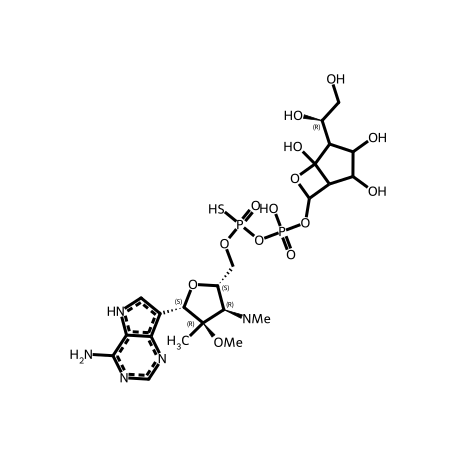 CN[C@@H]1[C@@H](COP(=O)(S)OP(=O)(O)OC2OC3(O)C2C(O)C(O)C3[C@@H](O)CO)O[C@@H](c2c[nH]c3c(N)ncnc23)[C@]1(C)OC